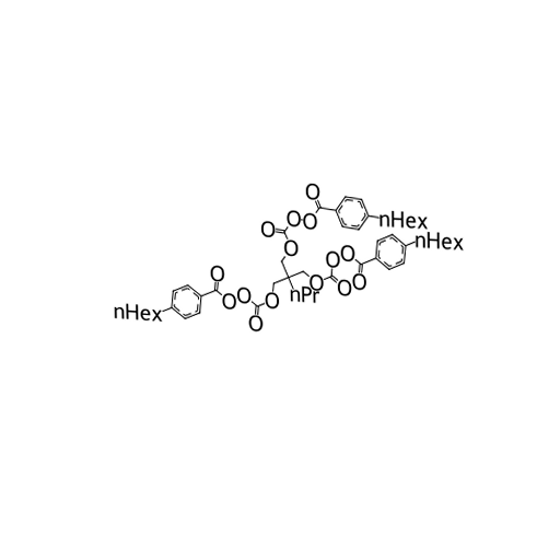 CCCCCCc1ccc(C(=O)OOC(=O)OCC(CCC)(COC(=O)OOC(=O)c2ccc(CCCCCC)cc2)COC(=O)OOC(=O)c2ccc(CCCCCC)cc2)cc1